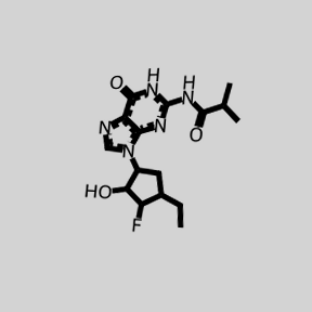 CCC1CC(n2cnc3c(=O)[nH]c(NC(=O)C(C)C)nc32)C(O)C1F